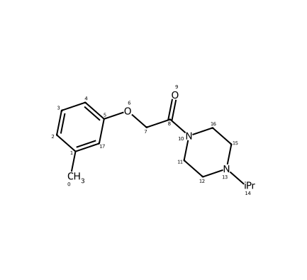 Cc1cccc(OCC(=O)N2CCN(C(C)C)CC2)c1